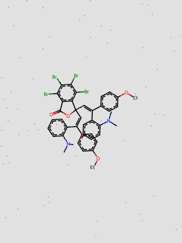 CCOc1ccc(C(=CC2(C=C(c3ccc(OCC)cc3)c3ccccc3N(C)C)OC(=O)c3c(Br)c(Br)c(Br)c(Br)c32)c2ccccc2N(C)C)cc1